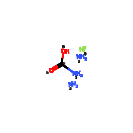 F.N.N.NC(=O)O